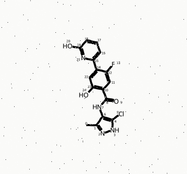 Cc1n[nH]c(Cl)c1NC(=O)c1cc(F)c(-c2cccc(O)n2)cc1O